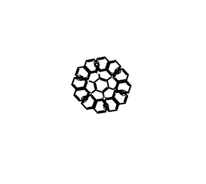 O=P(c1ccccc1)(c1ccccc1)c1c(P(=O)(c2ccccc2)c2ccccc2)c(P(=O)(c2ccccc2)c2ccccc2)c(P(=O)(c2ccccc2)c2ccccc2)c(P(=O)(c2ccccc2)c2ccccc2)c1P(=O)(c1ccccc1)c1ccccc1